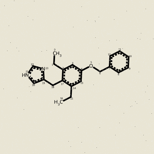 CCc1cc(OCc2ccccc2)cc(CC)c1Cc1c[nH]cn1